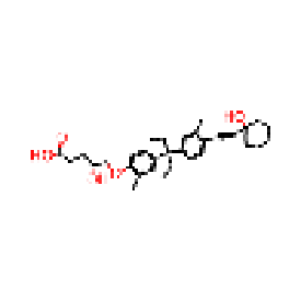 CCC(CC)(c1ccc(C#CC2(O)CCCCC2)c(C)c1)c1ccc(OC[C@H](O)CCC(=O)O)c(C)c1